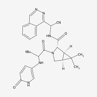 CC(C)(C)C(Nc1ccc(=O)[nH]c1)C(=O)N1C[C@H]2[C@@H]([C@H]1C(=O)NC(C#N)c1nncc3ccccc13)C2(C)C